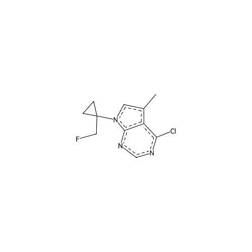 Cc1cn(C2(CF)CC2)c2ncnc(Cl)c12